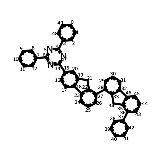 c1ccc(-c2nc(-c3ccccc3)nc(-c3ccc4c(c3)Cc3c-4cccc3-c3cccc4c3Cc3c(-c5ccccc5)cccc3-4)n2)cc1